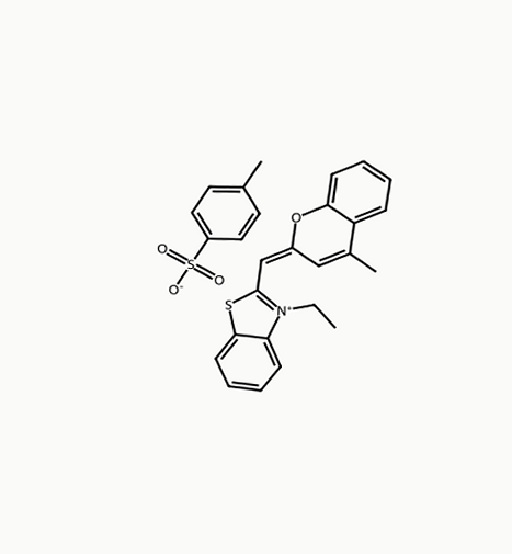 CC[n+]1c(/C=C2\C=C(C)c3ccccc3O2)sc2ccccc21.Cc1ccc(S(=O)(=O)[O-])cc1